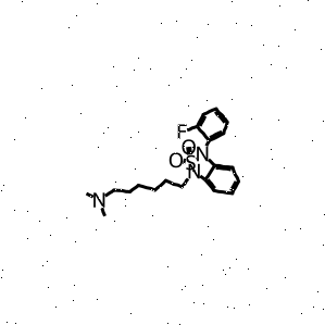 CN(C)CCCCCCN1c2ccccc2N(c2ccccc2F)S1(=O)=O